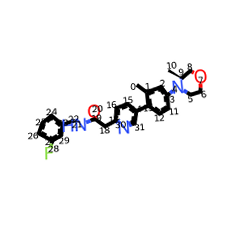 Cc1cc(N2CCOC[C@@H]2C)ccc1-c1ccc(CC(=O)NCc2cccc(F)c2)nc1